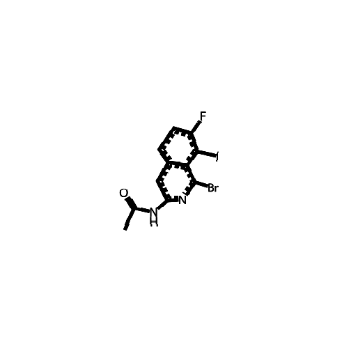 CC(=O)Nc1cc2ccc(F)c(I)c2c(Br)n1